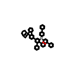 c1ccc(-c2ccc(N(c3ccc(-c4ccccc4)cc3)c3cc(-c4ccc5c(c4)-c4ccccc4C54C5CC6CC7CC4C75C6)cc(-c4ccccc4)c3-c3ccccc3)cc2)cc1